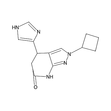 O=C1CC(c2c[nH]cn2)c2cn(C3CCC3)nc2N1